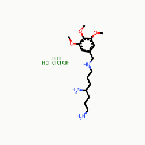 COc1cc(CNCCCC(N)CCCN)cc(OC)c1OC.Cl.Cl.Cl.Cl